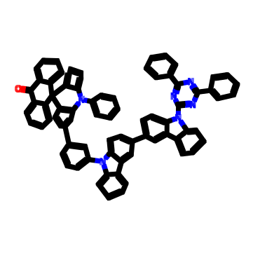 O=C1c2ccccc2C2(c3ccccc31)c1ccccc1N(c1ccccc1)c1cc(-c3cccc(-n4c5ccccc5c5cc(-c6ccc7c(c6)c6ccccc6n7-c6nc(-c7ccccc7)nc(-c7ccccc7)n6)ccc54)c3)ccc12